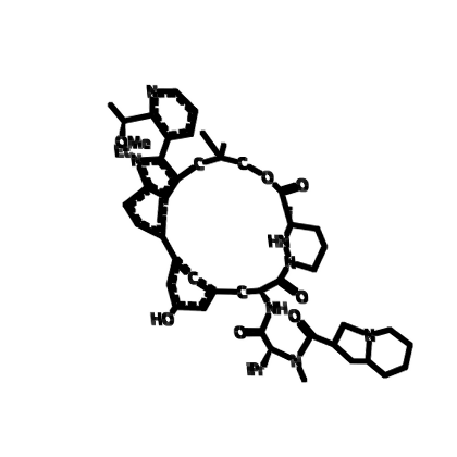 CCn1c(-c2cccnc2[C@H](C)OC)c2c3cc(ccc31)-c1cc(O)cc(c1)C[C@H](NC(=O)[C@H](C(C)C)N(C)C(=O)C1CC3CCCCN3C1)C(=O)N1CCC[C@@](C)(N1)C(=O)OCC(C)(C)C2